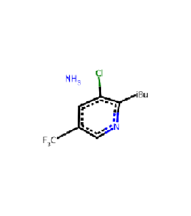 CCC(C)c1ncc(C(F)(F)F)cc1Cl.N